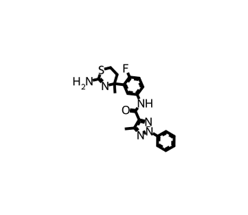 Cc1nn(-c2ccccc2)nc1C(=O)Nc1ccc(F)c(C2(C)CCSC(N)=N2)c1